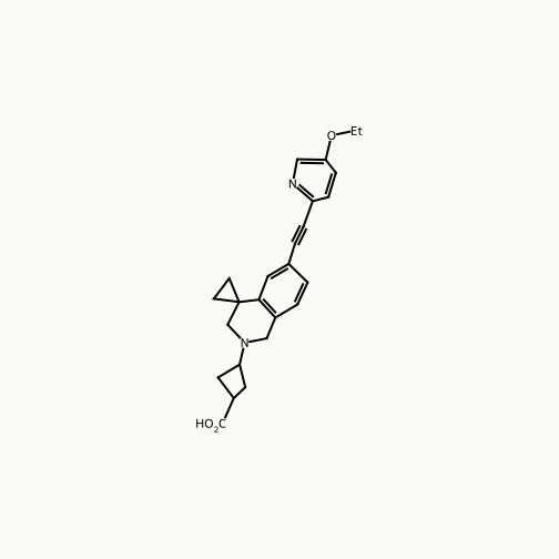 CCOc1ccc(C#Cc2ccc3c(c2)C2(CC2)CN(C2CC(C(=O)O)C2)C3)nc1